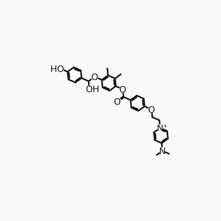 Cc1c(OC(=O)c2ccc(OCC[n+]3ccc(N(C)C)cc3)cc2)ccc(OC(O)c2ccc(O)cc2)c1C